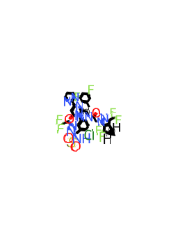 CS(=O)(=O)Nc1nn(CC(F)F)c2c(-n3c([C@H](Cc4cc(F)cc(F)c4)NC(=O)Cn4nc(C(F)F)c5c4C(F)(F)[C@@H]4C[C@H]54)nc(-c4ncccn4)cc3=O)ccc(Cl)c12